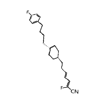 N#CC(F)=CC=CCC[C@H]1CC[C@H](CCCCc2ccc(F)cc2)CC1